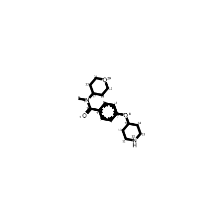 CN(C(=O)c1ccc(OC2CCNCC2)cc1)C1CCOCC1